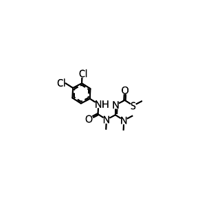 CSC(=O)N=C(N(C)C)N(C)C(=O)Nc1ccc(Cl)c(Cl)c1